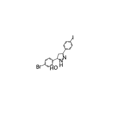 Oc1cc(Br)ccc1C1CC(c2ccc(I)cc2)=NN1